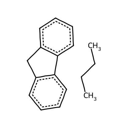 CCCC.c1ccc2c(c1)Cc1ccccc1-2